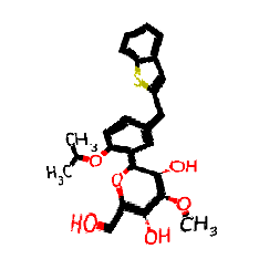 CO[C@H]1[C@H](O)C(CO)OC(c2cc(Cc3cc4ccccc4s3)ccc2OC(C)C)[C@@H]1O